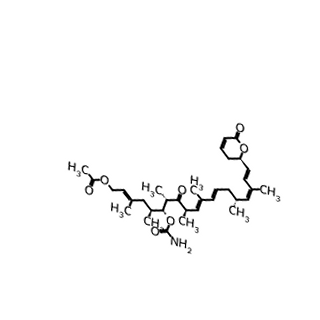 CC(=O)OC/C=C(\C)C[C@H](C)[C@@H](OC(N)=O)[C@H](C)C(=O)[C@H](C)/C=C(C)/C=C/C[C@@H](C)/C=C(C)\C=C\[C@H]1CC=CC(=O)O1